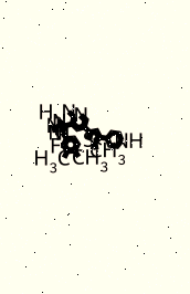 Cc1ccc(-n2nnnc2-c2cc(-c3cc(C4CCNCC4)c(C)s3)cnc2N)c(F)c1C